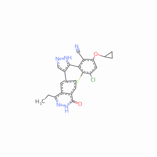 CCc1n[nH]c(=O)c2ccc(-c3cn[nH]c3-c3c(F)c(Cl)cc(OC4CC4)c3C#N)cc12